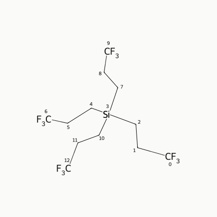 FC(F)(F)CC[Si](CCC(F)(F)F)(CCC(F)(F)F)CCC(F)(F)F